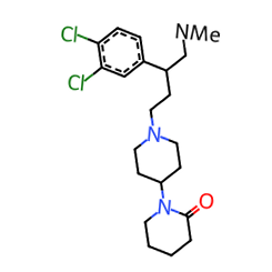 CNCC(CCN1CCC(N2CCCCC2=O)CC1)c1ccc(Cl)c(Cl)c1